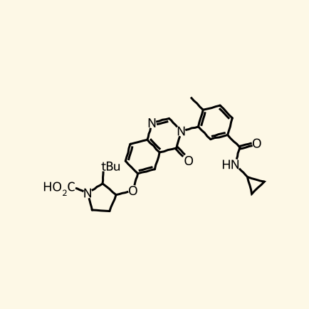 Cc1ccc(C(=O)NC2CC2)cc1-n1cnc2ccc(OC3CCN(C(=O)O)C3C(C)(C)C)cc2c1=O